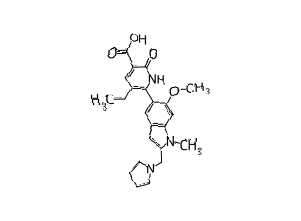 CCc1cc(C(=O)O)c(=O)[nH]c1-c1cc2cc(CN3CCCC3)n(C)c2cc1OC